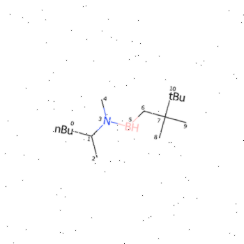 CCCCC(C)N(C)BCC(C)(C)C(C)(C)C